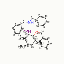 Cc1cccc(CNCc2ccccc2)c1Pc1cc(C(C)(C)C)cc(C(C)(C)C)c1OCc1ccccc1